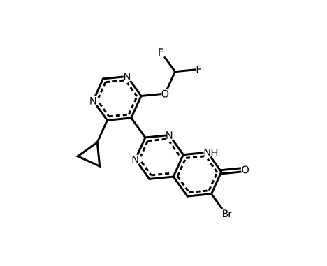 O=c1[nH]c2nc(-c3c(OC(F)F)ncnc3C3CC3)ncc2cc1Br